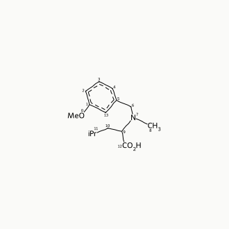 COc1cccc(CN(C)C(CC(C)C)C(=O)O)c1